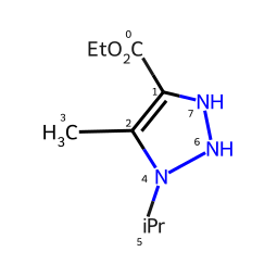 CCOC(=O)C1=C(C)N(C(C)C)NN1